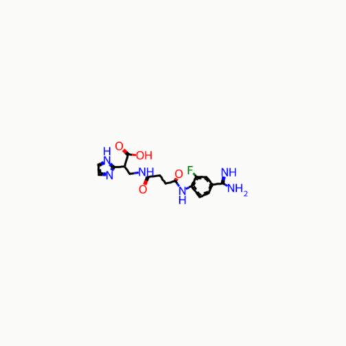 N=C(N)c1ccc(NC(=O)CCC(=O)NCC(C(=O)O)c2ncc[nH]2)c(F)c1